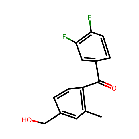 Cc1cc(CO)ccc1C(=O)c1ccc(F)c(F)c1